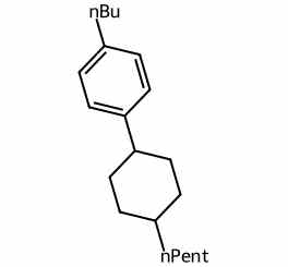 CCCCCC1CCC(c2ccc(CCCC)cc2)CC1